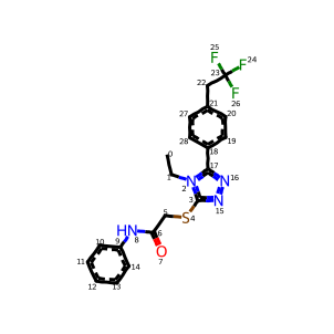 CCn1c(SCC(=O)Nc2ccccc2)nnc1-c1ccc(CC(F)(F)F)cc1